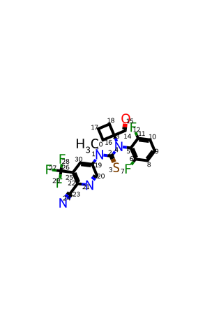 CN(C(=S)N(c1c(F)cccc1F)C1(C=O)CCC1)c1cnc(C#N)c(C(F)(F)F)c1